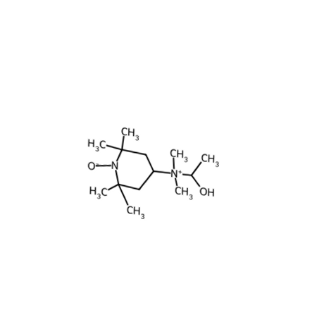 CC(O)[N+](C)(C)C1CC(C)(C)N([O-])C(C)(C)C1